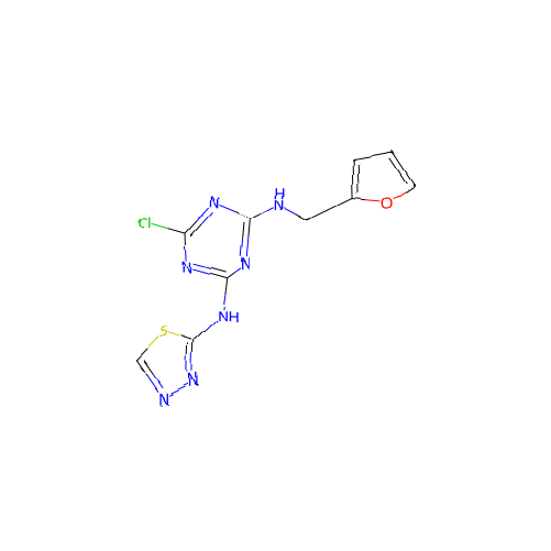 Clc1nc(NCc2ccco2)nc(Nc2nncs2)n1